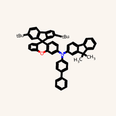 CC(C)(C)c1ccc2c(c1)C1(c3ccccc3Oc3cc(N(c4ccc(-c5ccccc5)cc4)c4ccc5c(c4)C(C)(C)c4ccccc4-5)ccc31)c1cc(C(C)(C)C)ccc1-2